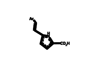 CC(=O)C=Cc1ccc(C(=O)O)[nH]1